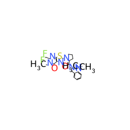 CCn1c(C(F)F)nc2sc(N3CCCC3C(=O)NCc3ccccc3N(C)C)nc2c1=O